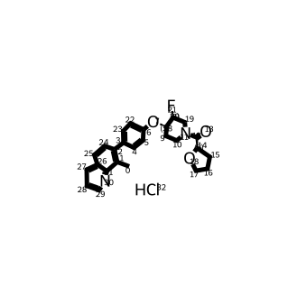 Cc1c(-c2ccc(O[C@H]3CCN(C(=O)[C@H]4CCCO4)C[C@H]3F)cc2)ccc2cccnc12.Cl